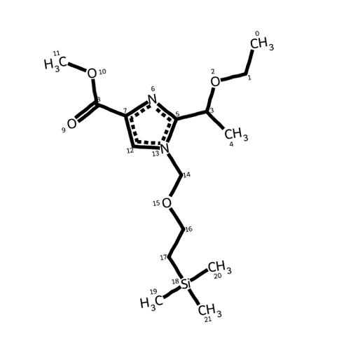 CCOC(C)c1nc(C(=O)OC)cn1COCC[Si](C)(C)C